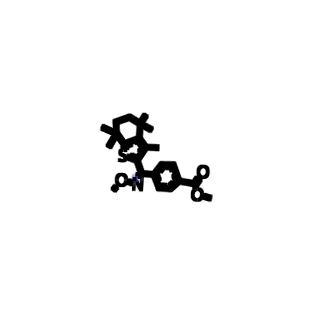 CO/N=C(/c1ccc(C(=O)OC)cc1)c1sc2c(c1C)C(C)(C)CCC2(C)C